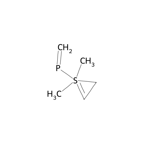 C=PS1(C)(C)=CC1